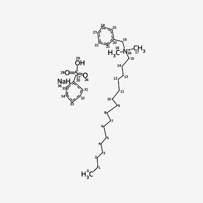 CCCCCCCCCCCCCCCC[N+](C)(C)Cc1ccccc1.O=S(=O)(O)c1ccccc1.[NaH]